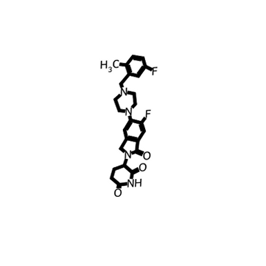 Cc1ccc(F)cc1CN1CCN(c2cc3c(cc2F)C(=O)N(C2CCC(=O)NC2=O)C3)CC1